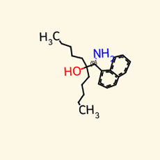 CCCCCC(O)(CCCCC)[C@H](N)c1cccc2ccccc12